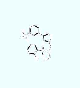 CC(C)CN(Cc1cc(-c2cccc(S(C)(=O)=O)c2)cs1)S(=O)(=O)c1ccccc1Cl